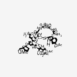 CC[C@H](C)[C@@H]1NC(=O)CNC(=O)[C@@H](N)Cc2c([nH]c3cc(OC(C)=O)ccc23)SC[C@@H](C(=O)NC(CC(N)=O)C(=O)N2C[C@H](OC3CCCC(COC)O3)C[C@H]2C(=O)NC(C(=O)O)[C@@H](C)[C@H](COC(C)=O)OC(C)=O)NC(=O)CNC1=O